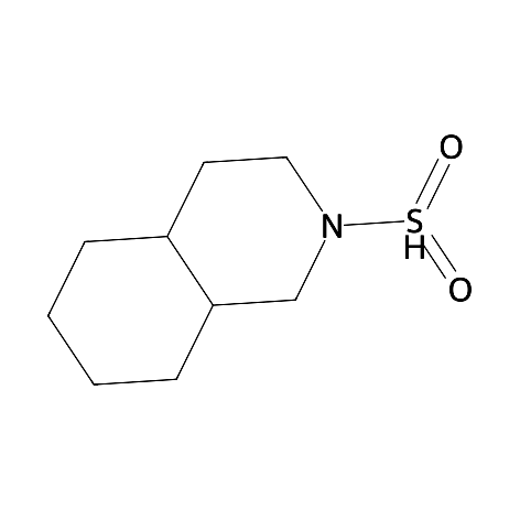 O=[SH](=O)N1CCC2CCCCC2C1